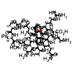 CC[C@H](C)[C@H](NC(=O)[C@H](C)N)C(=O)N[C@@H](CC(C)C)C(=O)N[C@@H](CC(C)C)C(=O)N[C@@H](CO)C(=O)N[C@@H](CCC(N)=O)C(=O)N1CCC[C@H]1C(=O)N1CCC[C@H]1C(=O)N[C@@H](CCCCN)C(=O)N[C@@H](CCC(N)=O)C(=O)N[C@@H](CC(C)C)C(=O)NCC(=O)N[C@@H](CC(C)C)C(=O)N[C@@H](CCCNC(=N)N)C(=O)N[C@@H](C)C(=O)O